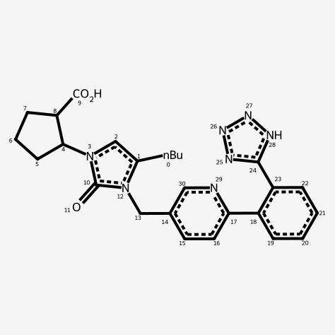 CCCCc1cn(C2CCCC2C(=O)O)c(=O)n1Cc1ccc(-c2ccccc2-c2nnn[nH]2)nc1